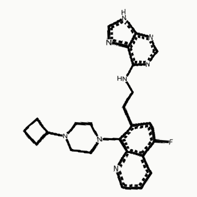 Fc1cc(CCNc2ncnc3[nH]cnc23)c(N2CCN(C3CCC3)CC2)c2ncccc12